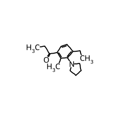 CCC(=O)c1ccc(CC)c(N2CCCC2)c1C